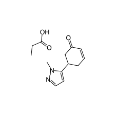 CCC(=O)O.Cn1nccc1C1CC=CC(=O)C1